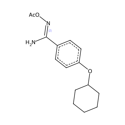 CC(=O)O/N=C(\N)c1ccc(OC2CCCCC2)cc1